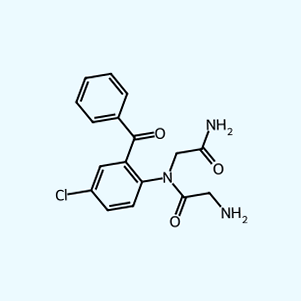 NCC(=O)N(CC(N)=O)c1ccc(Cl)cc1C(=O)c1ccccc1